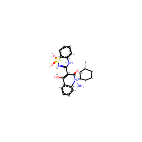 C[C@@H]1CCCC([N@+]2(N)C(=O)C(C3=NS(=O)(=O)c4ccccc4N3)=C(O)c3ccccc32)C1